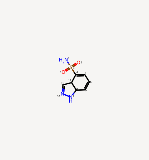 NS(=O)(=O)C1=CC=CC2NN=CC12